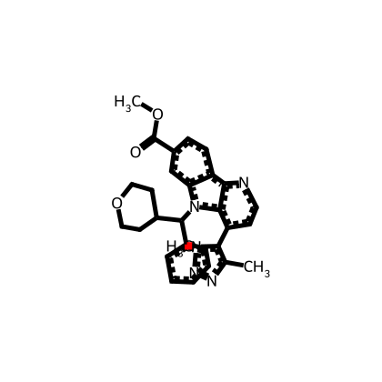 COC(=O)c1ccc2c3nccc(-c4c(C)nnn4C)c3n(C(c3ccccc3)C3CCOCC3)c2c1